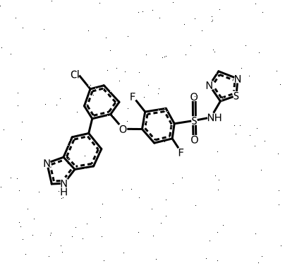 O=S(=O)(Nc1ncns1)c1cc(F)c(Oc2ccc(Cl)cc2-c2ccc3[nH]cnc3c2)cc1F